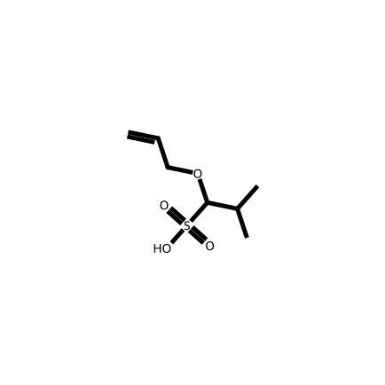 C=CCOC(C(C)C)S(=O)(=O)O